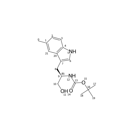 Cc1ccc2[nH]cc(C[C@H](CO)NC(=O)OC(C)(C)C)c2c1